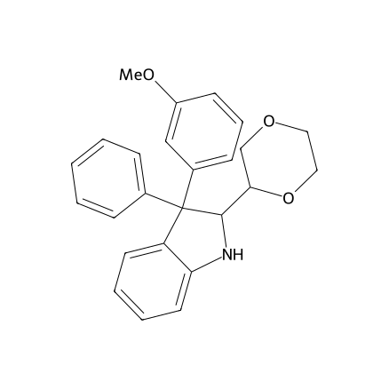 COc1cccc(C2(c3ccccc3)c3ccccc3NC2C2COCCO2)c1